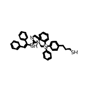 SCCCc1ccc([Si](Cn2ccnc2BC(=Cc2ccccc2)c2ccccc2)(c2ccccc2)c2ccccc2)cc1